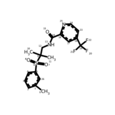 Cc1cccc(S(=O)(=O)C(C)(C)CNC(=O)c2cc(C(F)(F)F)ccn2)c1